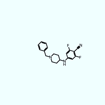 N#Cc1c(F)cc(NC2CCN(Cc3ccccc3)CC2)cc1F